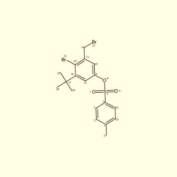 Cc1ccc(S(=O)(=O)Oc2cc(CBr)c(Br)c(C(C)(C)C)c2)cc1